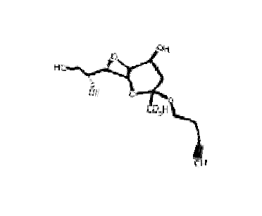 C#CCCOC1(C(=O)O)CC(O)C2O[C@H]([C@H](O)CO)C2O1